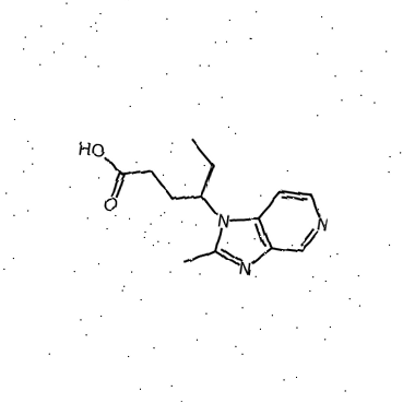 CCC(CCC(=O)O)n1c(C)nc2cnccc21